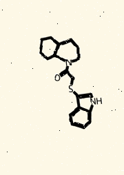 O=C(CSc1c[nH]c2ccccc12)N1CCCC2CCCCC21